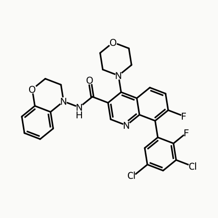 O=C(NN1CCOc2ccccc21)c1cnc2c(-c3cc(Cl)cc(Cl)c3F)c(F)ccc2c1N1CCOCC1